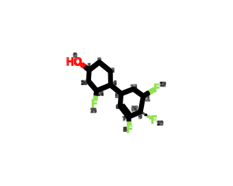 OC1CCC(C2C=C(F)[C@@H](F)C(F)C2)C(F)C1